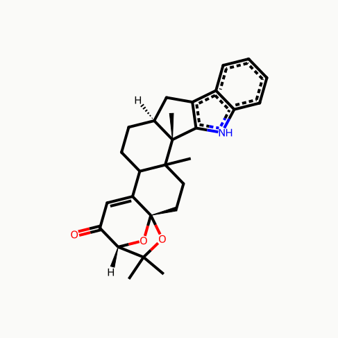 CC1(C)O[C@@]23CCC4(C)C(CC[C@H]5Cc6c([nH]c7ccccc67)[C@@]54C)C2=CC(=O)[C@@H]1O3